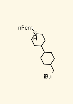 CCCCC[SiH]1CCC(C2CCC(C[C@@H](C)CC)CC2)CC1